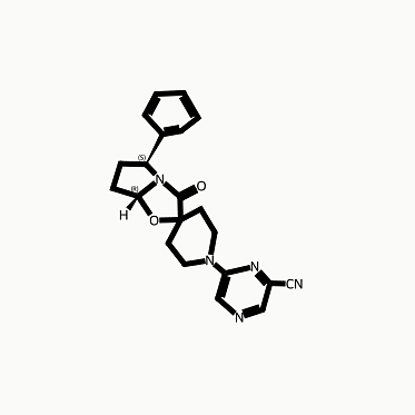 N#Cc1cncc(N2CCC3(CC2)O[C@@H]2CC[C@@H](c4ccccc4)N2C3=O)n1